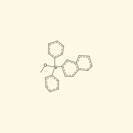 CO[Si](c1ccccc1)(c1ccccc1)c1ccc2ccccc2c1